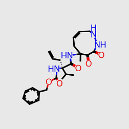 C=CC[C@](NC(=O)OCc1ccccc1)(C(=O)NC1(C)C/C=C\CNNC(=O)C1=O)C(C)C